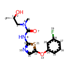 C[C@H](O)CN(C)C(=O)Nc1ncc(Oc2cccc(F)c2)s1